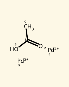 CC(=O)O.[Pd+2].[Pd+2]